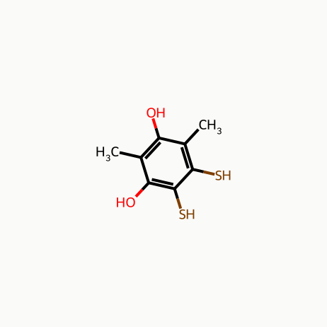 Cc1c(O)c(C)c(S)c(S)c1O